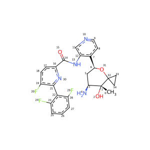 C[C@@]1(O)[C@@H](N)C[C@@H](c2ccncc2NC(=O)c2ccc(F)c(-c3c(F)cccc3F)n2)OC12CC2